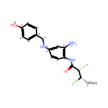 CCCCC[C@H](F)[C@@H](F)C(=O)Nc1ccc(NCc2ccc(O)cc2)cc1N